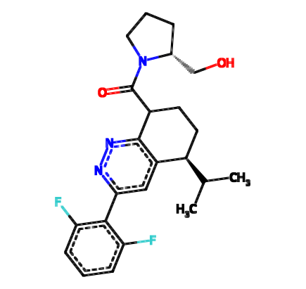 CC(C)[C@@H]1CCC(C(=O)N2CCC[C@@H]2CO)c2nnc(-c3c(F)cccc3F)cc21